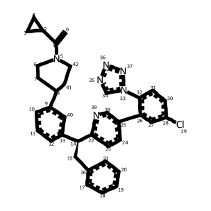 C=C(C1CC1)N1CCC(c2cccc([C@H](Cc3ccccc3)c3ccc(-c4cc(Cl)ccc4-n4cnnn4)cn3)c2)CC1